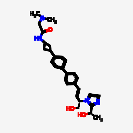 C[C@H](O)c1nccn1[C@@H](/C=C/c1ccc(-c2ccc(C3CC(NC(=O)CN(C)C)C3)cc2)cc1)CO